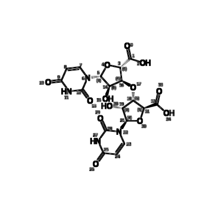 O=C(O)[C@H]1O[C@@H](n2ccc(=O)[nH]c2=O)[C@H](O)[C@@H]1O[C@H]1[C@@H](O)[C@H](n2ccc(=O)[nH]c2=O)O[C@@H]1C(=O)O